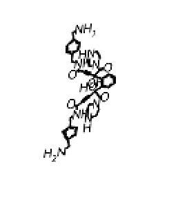 NCc1ccc(CNC(=O)C#CC(O)(C(=O)N2CCNCC2)c2ccccc2C(O)(C#CC(=O)NCc2ccc(CN)cc2)C(=O)N2CCNCC2)cc1